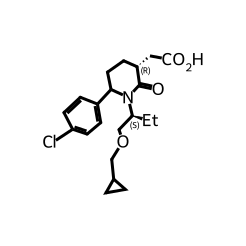 CC[C@@H](COCC1CC1)N1C(=O)[C@@H](CC(=O)O)CCC1c1ccc(Cl)cc1